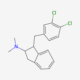 CN(C)C1Cc2ccccc2C1Cc1ccc(Cl)c(Cl)c1